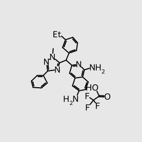 CCc1cccc(C(c2cc3cc(N)ccc3c(N)n2)c2nc(-c3ccccc3)nn2C)c1.O=C(O)C(F)(F)F